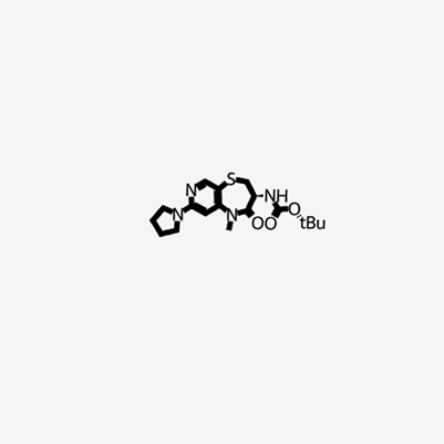 CN1C(=O)[C@@H](NC(=O)OC(C)(C)C)CSc2cnc(N3CCCC3)cc21